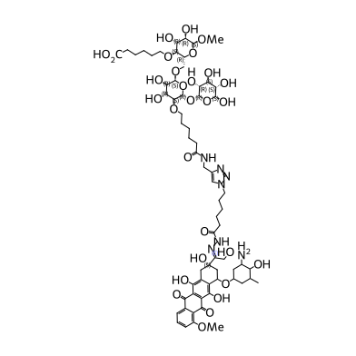 COc1cccc2c1C(=O)c1c(O)c3c(c(O)c1C2=O)C[C@@](O)(/C(CO)=N/NC(=O)CCCCCn1cc(CNC(=O)CCCCCO[C@@H]2[C@@H](O[C@H]4O[C@H](O)[C@@H](O)[C@H](O)[C@H]4O)O[C@H](OC[C@H]4O[C@H](OC)[C@H](O)[C@@H](O)[C@@H]4OCCCCCC(=O)O)[C@H](O)[C@H]2O)nn1)CC3OC1CC(C)C(O)C(N)C1